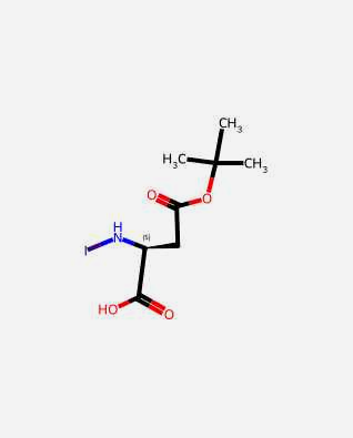 CC(C)(C)OC(=O)C[C@H](NI)C(=O)O